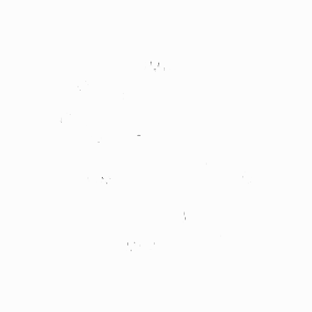 COC(=O)C1CC(C(=O)OC)(C(=O)OC)CCC1=O